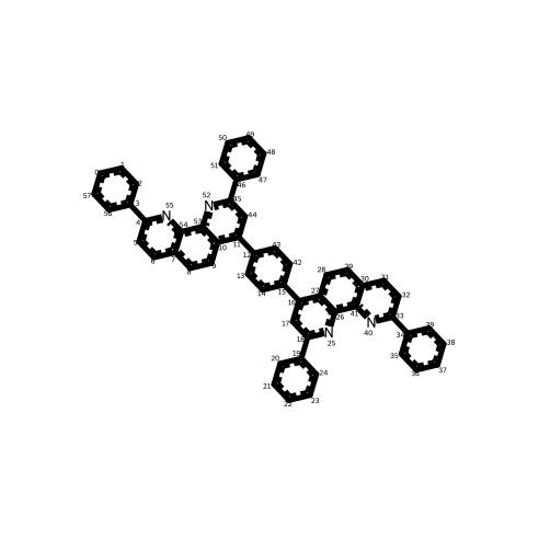 c1ccc(-c2ccc3ccc4c(-c5ccc(-c6cc(-c7ccccc7)nc7c6ccc6ccc(-c8ccccc8)nc67)cc5)cc(-c5ccccc5)nc4c3n2)cc1